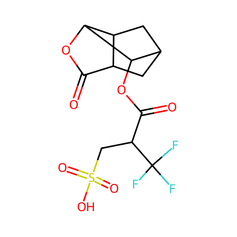 O=C1OC2C3CC(CC13)C2OC(=O)C(CS(=O)(=O)O)C(F)(F)F